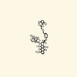 CO[C@H]1OCCN2[C@@H]1O[C@@H]1[C@H](C)O[C@@H](O[C@H]3C[C@](O)(C(=O)COC4CCCC(COCC(=O)ON5C(=O)CCC5=O)O4)Cc4c(O)c5c(c(O)c43)C(=O)c3c(N)cccc3C5=O)C[C@@H]12